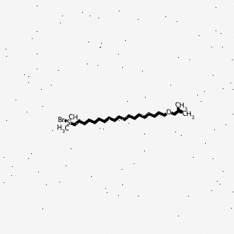 C=C(C)COCCCCCCCCCCCCCCCCCCC[Si](C)(C)Br